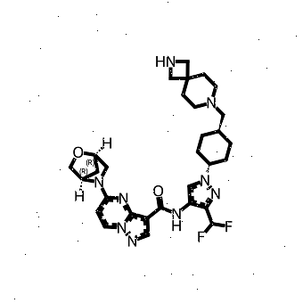 O=C(Nc1cn([C@H]2CC[C@H](CN3CCC4(CC3)CNC4)CC2)nc1C(F)F)c1cnn2ccc(N3C[C@H]4C[C@@H]3CO4)nc12